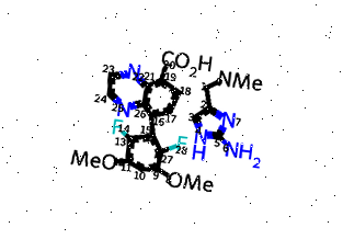 CNCc1c[nH]c(N)n1.COc1cc(OC)c(F)c(-c2ccc(C(=O)O)c3nccnc23)c1F